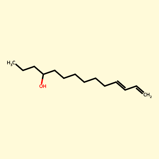 C=C/C=C/CCCCCCC(O)CCC